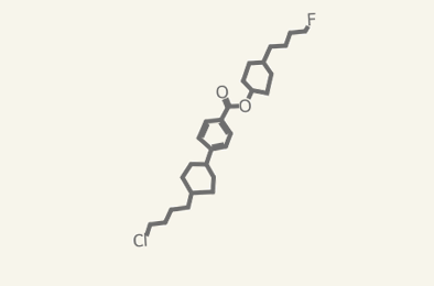 O=C(OC1CCC(CCCCF)CC1)c1ccc(C2CCC(CCCCCl)CC2)cc1